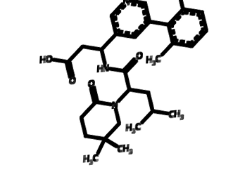 Cc1cccc(C)c1-c1cncc(C(CC(=O)O)NC(=O)C(CC(C)C)N2CC(C)(C)CCC2=O)c1